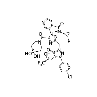 O=C(NC1CC1F)c1ccncc1-n1nc(Cn2nc(-c3ccc(Cl)cc3)n(C[C@H](O)C(F)(F)F)c2=O)nc1C(=O)N1CCS(O)(O)CC1